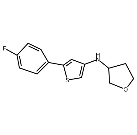 Fc1ccc(-c2cc(NC3CCOC3)cs2)cc1